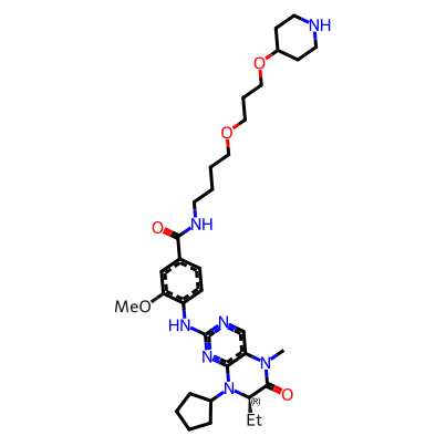 CC[C@@H]1C(=O)N(C)c2cnc(Nc3ccc(C(=O)NCCCCOCCCOC4CCNCC4)cc3OC)nc2N1C1CCCC1